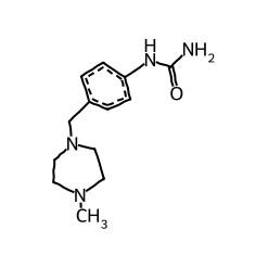 CN1CCN(Cc2ccc(NC(N)=O)cc2)CC1